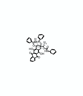 CC(OC(=O)Nc1ccccc1)[C@]1(OB(O)c2ccccc2)Cc2c(O)c3c(c(O)c2[C@@H](OB(O)c2ccccc2)C1)C(=O)c1ccccc1C3=O